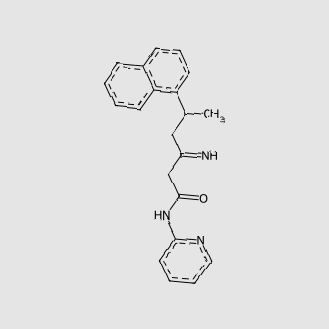 CC(CC(=N)CC(=O)Nc1ccccn1)c1cccc2ccccc12